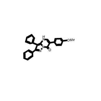 COc1ccc(-c2c[nH]c3c(-c4ccccc4)c(-c4ccccc4)nn3c2=O)cc1